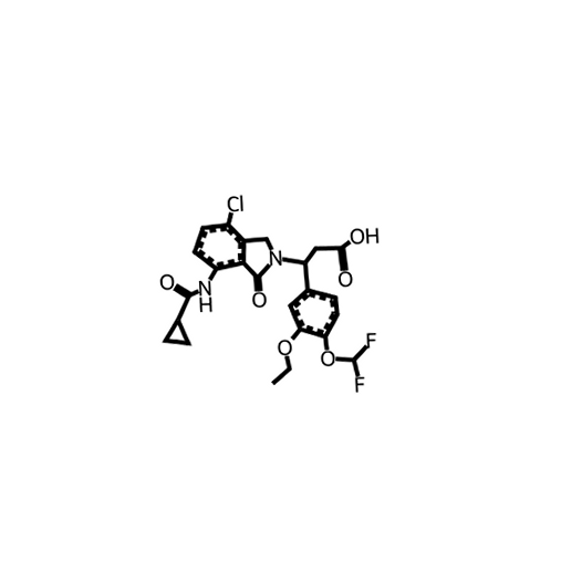 CCOc1cc(C(CC(=O)O)N2Cc3c(Cl)ccc(NC(=O)C4CC4)c3C2=O)ccc1OC(F)F